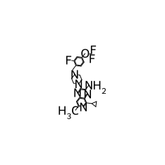 Cc1cc2nc(N3CCN(Cc4ccc(OC(F)F)cc4F)CC3)c(N)nc2c(C2CC2)n1